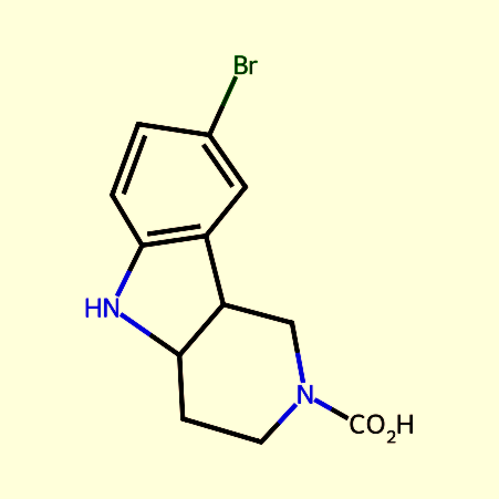 O=C(O)N1CCC2Nc3ccc(Br)cc3C2C1